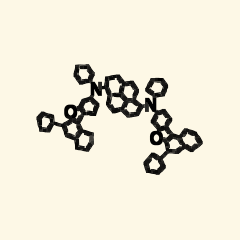 c1ccc(-c2cc3ccccc3c3c2oc2cc(N(c4ccccc4)c4ccc5ccc6c(N(c7ccccc7)c7ccc8c(c7)oc7c(-c9ccccc9)cc9ccccc9c78)ccc7ccc4c5c76)ccc23)cc1